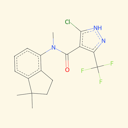 CN(C(=O)c1c(C(F)(F)F)n[nH]c1Cl)c1cccc2c1CCC2(C)C